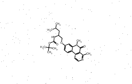 Cc1nccc2c1c(=O)n(C)c1cc(OCC(CC(C)C)NC(=O)OC(C)(C)C)ccc21